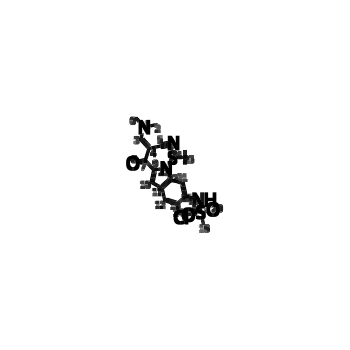 CN(C)/C=C(\C#N)C(=O)c1cc2cc(Cl)c(NS(C)(=O)=O)cc2n1SI